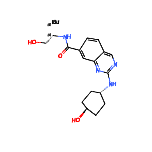 CC[C@H](C)[C@@H](CO)NC(=O)c1ccc2cnc(N[C@H]3CC[C@H](O)CC3)nc2c1